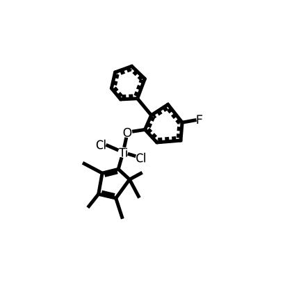 CC1=C(C)C(C)(C)[C]([Ti]([Cl])([Cl])[O]c2ccc(F)cc2-c2ccccc2)=C1C